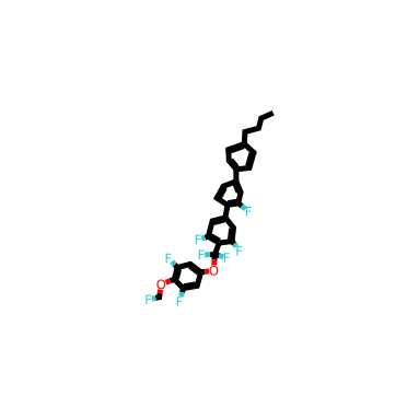 CCCCc1ccc(-c2ccc(-c3cc(F)c(C(F)(F)Oc4cc(F)c(OCF)c(F)c4)c(F)c3)c(F)c2)cc1